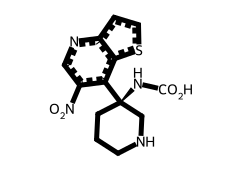 O=C(O)N[C@]1(c2c([N+](=O)[O-])cnc3ccsc23)CCCNC1